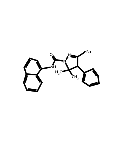 CCCCC1=NN(C(=O)Nc2cccc3ccccc23)C(C)(C)C1c1ccccc1